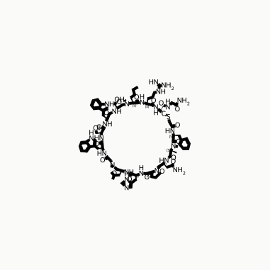 CCCC[C@H]1C(=O)N[C@@H](CCCNC(=N)N)C(=O)N[C@H](C(=O)NCC(N)=O)CSCC(=O)N[C@@H](Cc2ccccc2)C(=O)N(C)[C@@H](C)C(=O)N[C@@H](CC(N)=O)C(=O)N2CCC[C@H]2C(=O)N[C@@H](Cc2cnc[nH]2)C(=O)N[C@@H](CC(C)C)C(=O)N(C)CC(=O)N[C@@H](Cc2c[nH]c3ccccc23)C(=O)N[C@@H](CO)C(=O)N[C@@H](Cc2c[nH]c3ccccc23)C(=O)N[C@@H](CO)C(=O)N1C